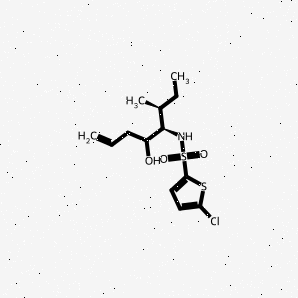 C=CCC(O)[C@H](NS(=O)(=O)c1ccc(Cl)s1)[C@@H](C)CC